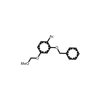 COCOc1ccc(C(C)=O)c(OCc2ccccc2)c1